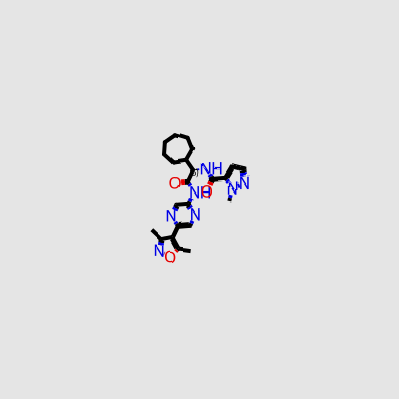 Cc1noc(C)c1-c1cnc(NC(=O)[C@@H](NC(=O)c2ccnn2C)C2CCCCCC2)cn1